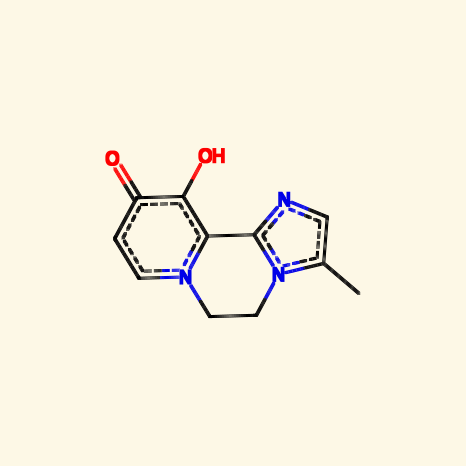 Cc1cnc2n1CCn1ccc(=O)c(O)c1-2